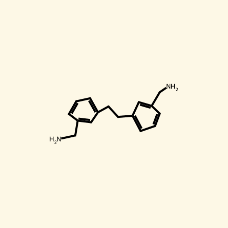 NCc1cccc(CCc2cccc(CN)c2)c1